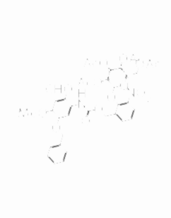 COC1C=C([C]=O)C(NC(=O)OCc2cccc([N+](=O)[O-])c2OC2O[C@H](COC(C)=O)[C@H](OC(C)=O)[C@H](OC(C)=O)[C@H]2OC(C)=O)=C[C]1OCc1ccccc1